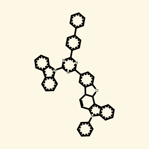 C1=CC2c3cc(-c4nc(-c5ccc(-c6ccccc6)cc5)nc(-n5c6ccccc6c6ccccc65)n4)ccc3OC2c2c1n(-c1ccccc1)c1ccccc21